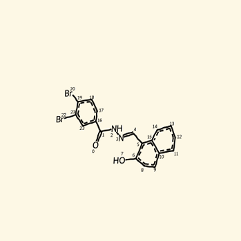 O=C(N/N=C/c1c(O)ccc2ccccc12)c1ccc(Br)c(Br)c1